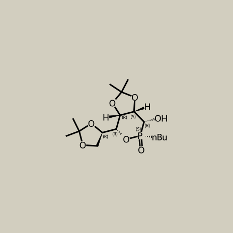 CCCC[P@]1(=O)O[C@H]([C@H]2COC(C)(C)O2)[C@@H]2OC(C)(C)O[C@@H]2[C@@H]1O